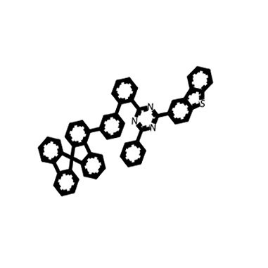 c1ccc(-c2nc(-c3ccc4sc5ccccc5c4c3)nc(-c3ccccc3-c3cccc(-c4cccc5c4-c4ccccc4C54c5ccccc5-c5ccccc54)c3)n2)cc1